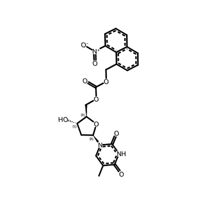 Cc1cn([C@H]2C[C@H](O)[C@@H](COC(=O)OCc3cccc4cccc([N+](=O)[O-])c34)O2)c(=O)[nH]c1=O